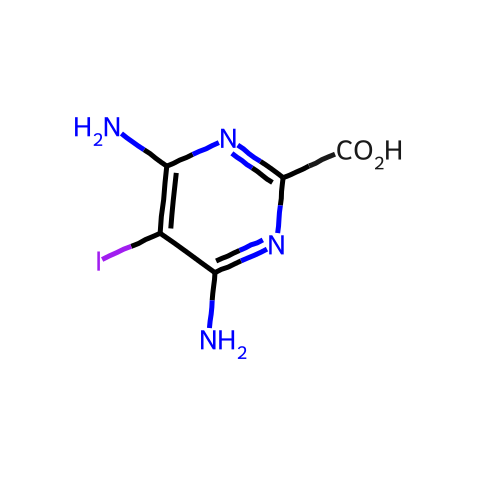 Nc1nc(C(=O)O)nc(N)c1I